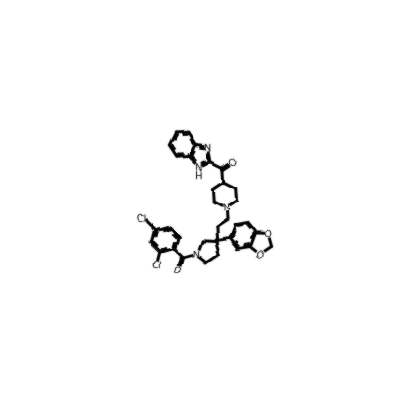 O=C(c1nc2ccccc2[nH]1)C1CCN(CCC2(c3ccc4c(c3)OCO4)CCN(C(=O)c3ccc(Cl)cc3Cl)C2)CC1